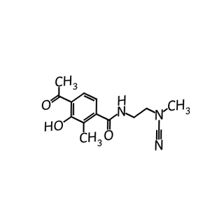 CC(=O)c1ccc(C(=O)NCCN(C)C#N)c(C)c1O